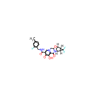 Cc1ccc(CNC(=O)c2cn3c(c(O)c2=O)C(=O)N2C(C3)O[C@@H]3C[C@H]2[C@@H]2[C@H]3C2(F)F)c(F)c1